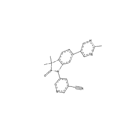 Cc1ncc(-c2ccc3c(c2)N(c2cncc(C#N)c2)C(=O)C3(C)C)cn1